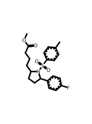 COC(=O)CCCC1CCC(c2ccc(F)cc2)N1S(=O)(=O)c1ccc(C)cc1